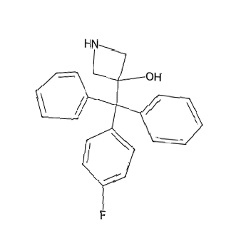 OC1(C(c2ccccc2)(c2ccccc2)c2ccc(F)cc2)CNC1